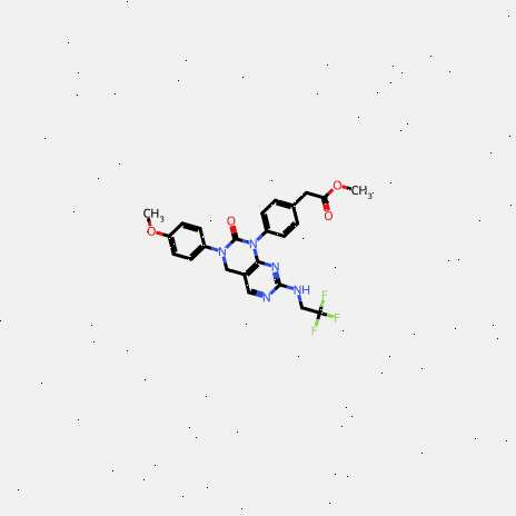 COC(=O)Cc1ccc(N2C(=O)N(c3ccc(OC)cc3)Cc3cnc(NCC(F)(F)F)nc32)cc1